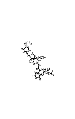 COc1ccc(CN2CCC3(CCN(CCC(NC(=O)C(C)C)c4cccc(Cl)c4)CC3)C2=O)cc1.Cl